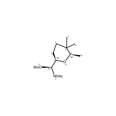 CO[C@H](NC(C)=O)[C@H]1CCC(C)(C)[C@@H](C)O1